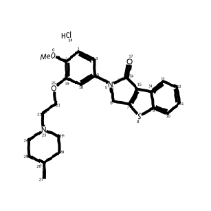 COc1ccc(N2Cc3sc4ccccc4c3C2=O)cc1OCCN1CCC(C)CC1.Cl